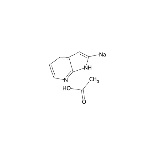 CC(=O)O.[Na][c]1cc2cccnc2[nH]1